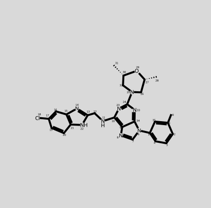 Cc1cccc(-n2cnc3c(NCc4nc5cc(Cl)ccc5[nH]4)nc(N4C[C@@H](C)O[C@@H](C)C4)nc32)c1